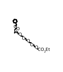 CCOC(=O)COCCOCCOCCOCCOCCN(C)CC(=O)OCc1ccccc1